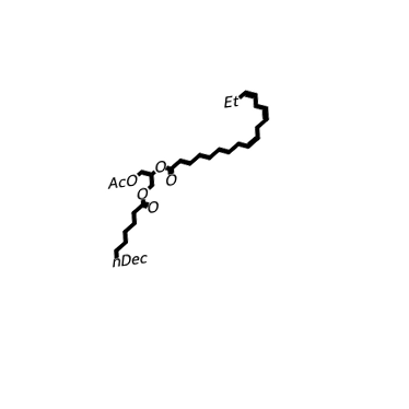 CC/C=C\C/C=C\C/C=C\CCCCCCCC(=O)OC(COC(C)=O)COC(=O)CCCCCCCCCCCCCCC